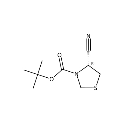 CC(C)(C)OC(=O)N1CSC[C@H]1C#N